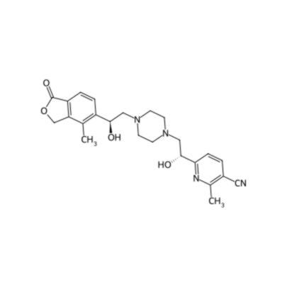 Cc1nc([C@H](O)CN2CCN(C[C@@H](O)c3ccc4c(c3C)COC4=O)CC2)ccc1C#N